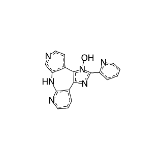 On1c(-c2ccccn2)nc2c1-c1ccncc1Nc1ncccc1-2